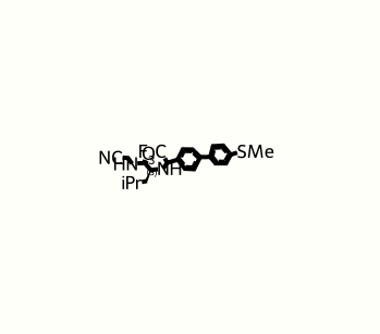 CSc1ccc(-c2ccc(C(N[C@@H](CC(C)C)C(=O)NCC#N)C(F)(F)F)cc2)cc1